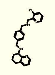 Oc1cccnc1CNCc1ccc(CNC2CCCc3cccnc32)cc1